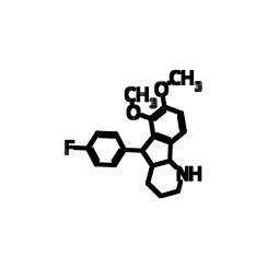 COc1ccc2c(c1OC)C(c1ccc(F)cc1)C1CCCNC21